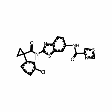 O=C(Nc1ccc2nc(NC(=O)C3(c4cccc(Cl)c4)CC3)sc2c1)c1cscn1